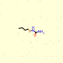 CCCCSNC(N)=O